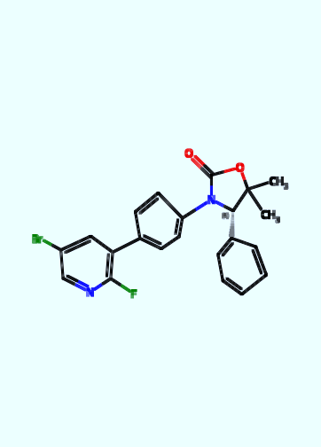 CC1(C)OC(=O)N(c2ccc(-c3cc(Br)cnc3F)cc2)[C@H]1c1ccccc1